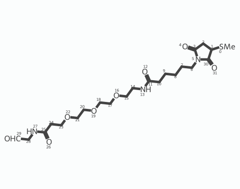 CSC1CC(=O)N(CCCCCC(=O)NCCOCCOCCOCCC(=O)NCC=O)C1=O